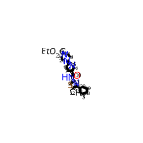 CCOC(=O)N1CCN(c2ccc(C(=O)Nc3nc(-c4ccccc4)c(C)s3)cn2)CC1